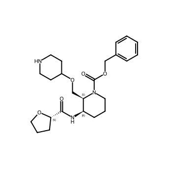 O=C(N[C@@H]1CCCN(C(=O)OCc2ccccc2)[C@@H]1COC1CCNCC1)[C@@H]1CCCO1